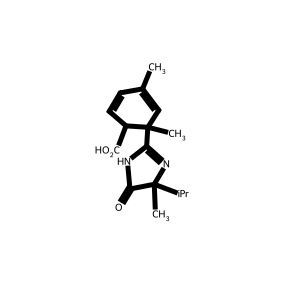 CC1=CC(C)(C2=NC(C)(C(C)C)C(=O)N2)C(C(=O)O)C=C1